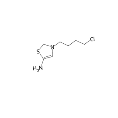 NC1=CN(CCCCCl)CS1